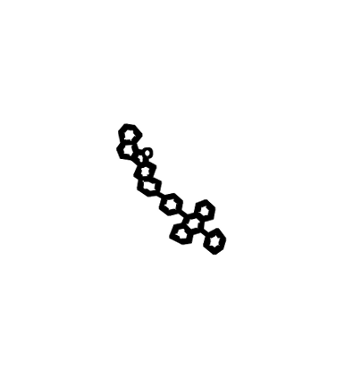 c1ccc(-c2c3ccccc3c(-c3ccc(-c4ccc5cc6c(cc5c4)oc4c5ccccc5ccc64)cc3)c3ccccc23)cc1